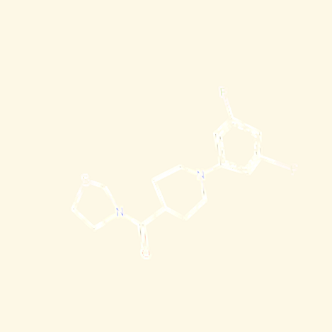 O=C(C1CCN(c2cc(F)cc(F)c2)CC1)N1CCSC1